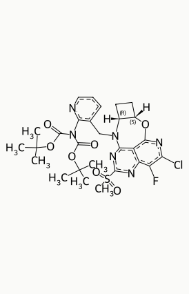 CC(C)(C)OC(=O)N(C(=O)OC(C)(C)C)c1ncccc1CN1c2nc(S(C)(=O)=O)nc3c(F)c(Cl)nc(c23)O[C@H]2CC[C@H]21